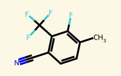 Cc1ccc(C#N)c(C(F)(F)F)c1F